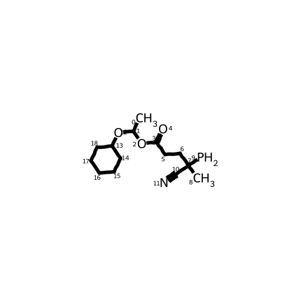 CC(OC(=O)CCC(C)(P)C#N)OC1CCCCC1